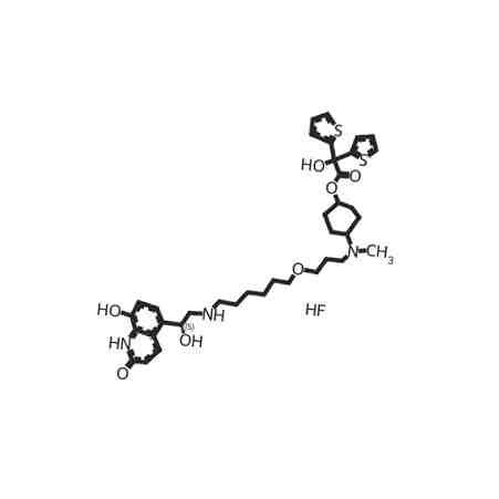 CN(CCCOCCCCCCNC[C@@H](O)c1ccc(O)c2[nH]c(=O)ccc12)C1CCC(OC(=O)C(O)(c2cccs2)c2cccs2)CC1.F